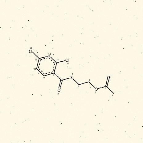 C=C(C)OCCSC(=O)c1ccc(Cl)cc1Cl